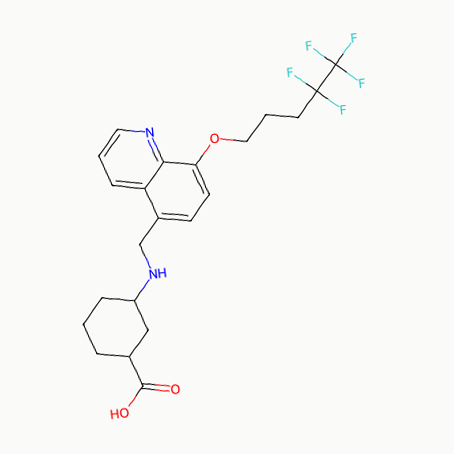 O=C(O)C1CCCC(NCc2ccc(OCCCC(F)(F)C(F)(F)F)c3ncccc23)C1